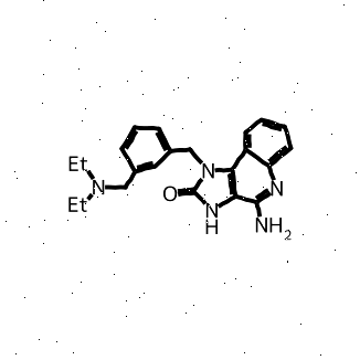 CCN(CC)Cc1cccc(Cn2c(=O)[nH]c3c(N)nc4ccccc4c32)c1